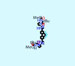 COC(=O)N[C@H](C(=O)N1CCC[C@H]1c1ncc(-c2ccc3c(c2)C(F)(F)C(F)(F)c2cc(-c4cnc([C@@H]5CCCN5C(=O)[C@@H](NC(=O)OC)C(C)(C)C)[nH]4)ccc2-3)[nH]1)C(C)(C)C